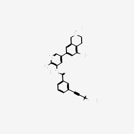 Cc1cc(-c2cnc(N)c(NC(=O)c3cccc(C#CC(C)(C)O)c3)c2)cc2c1CCN(C)C2